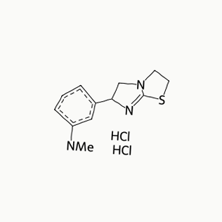 CNc1cccc(C2CN3CCSC3=N2)c1.Cl.Cl